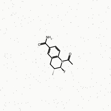 CC(=O)N1c2ccc(C(N)=O)cc2C[C@@H](C)[C@@H]1F